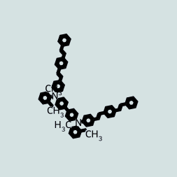 CCc1cccc(C)c1N(c1ccc(/C=C/c2ccc(/C=C/c3ccccc3)cc2)cc1)c1ccc(-c2ccc(N(c3ccc(/C=C/c4ccc(/C=C/c5ccccc5)cc4)cc3)c3c(C)cccc3CC)cc2)cc1